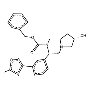 Cc1nc(-c2cccc([C@@H](CN3CC[C@H](O)C3)N(C)C(=O)OCc3ccccc3)c2)no1